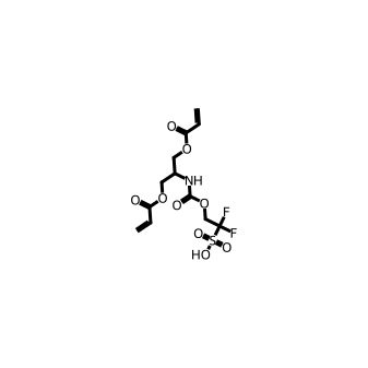 C=CC(=O)OCC(COC(=O)C=C)NC(=O)OCC(F)(F)S(=O)(=O)O